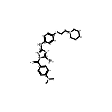 CN(C)c1ccc(C(=O)n2nc(Nc3ccc(OCCN4CCCCC4)cc3)nc2N)cc1